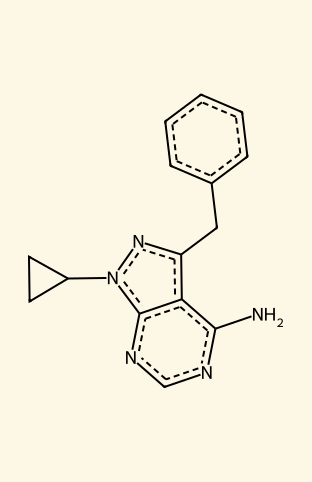 Nc1ncnc2c1c(Cc1ccccc1)nn2C1CC1